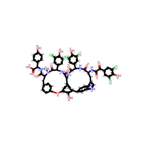 CN1C(=O)C(c2cc(Cl)c(O)c(Cl)c2)NC(=O)C2NC(=O)C(c3cc(Cl)c(O)c(Cl)c3)NC(=O)C(NC(=O)C(=O)c3cc(Cl)c(O)c(Cl)c3)Cc3c[nH]c4cc(ccc34)-c3cc2cc(c3O)Oc2ccc(cc2)CC1C(=O)NC(C(=O)O)c1ccc(O)cc1